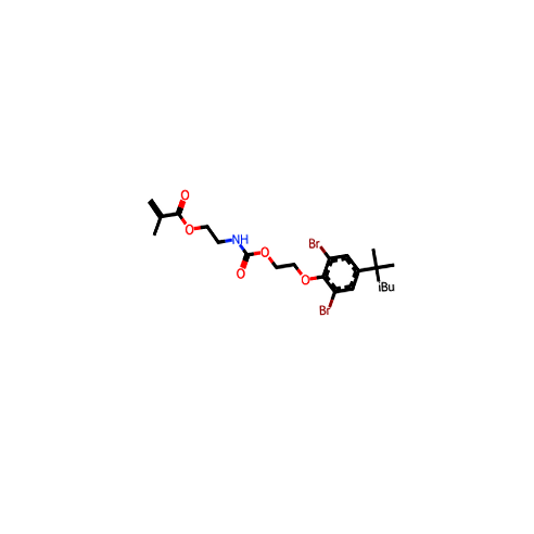 C=C(C)C(=O)OCCNC(=O)OCCOc1c(Br)cc(C(C)(C)C(C)CC)cc1Br